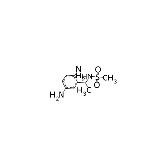 CC(NS(C)(=O)=O)c1cc(N)ccc1N